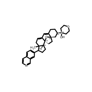 CC12CC=C3C=C4CC[C@@H]([N+]5(O)CCOCC5)C[C@]45CC[C@]3(O5)[C@@H]1CCC2c1ccc2ccncc2c1